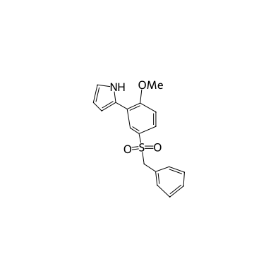 COc1ccc(S(=O)(=O)Cc2ccccc2)cc1-c1ccc[nH]1